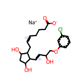 O=C([O-])CCC/C=C\CC1C(O)CC(O)C1/C=C/C(O)COc1cccc(Cl)c1.[Na+]